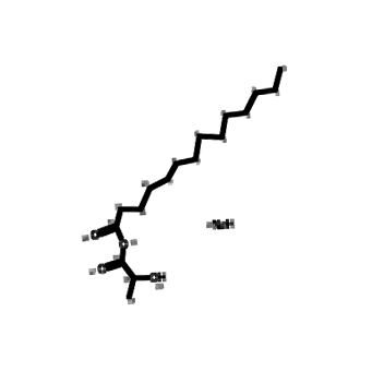 CCCCCCCCCCCCCC(=O)OC(=O)C(C)O.[NaH]